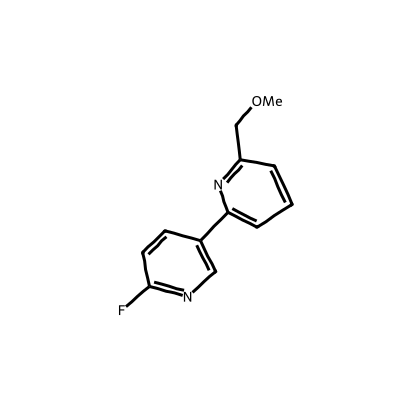 COCc1cccc(-c2ccc(F)nc2)n1